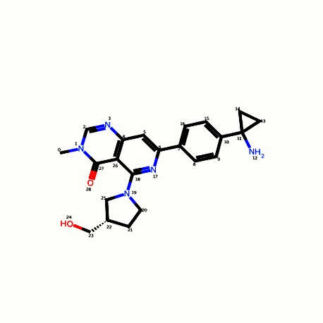 Cn1cnc2cc(-c3ccc(C4(N)CC4)cc3)nc(N3CC[C@H](CO)C3)c2c1=O